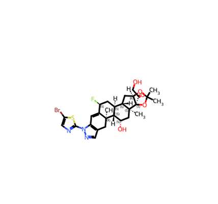 CC1(C)O[C@@H]2C[C@H]3[C@@H]4C[C@H](F)C5=Cc6c(cnn6-c6ncc(Br)s6)C[C@]5(C)[C@H]4[C@@H](O)C[C@]3(C)[C@]2(C(=O)CO)O1